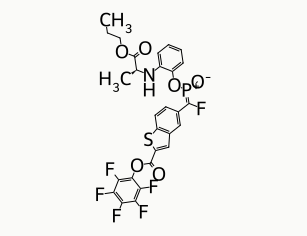 CCCOC(=O)[C@H](C)Nc1ccccc1O[P+]([O-])=C(F)c1ccc2sc(C(=O)Oc3c(F)c(F)c(F)c(F)c3F)cc2c1